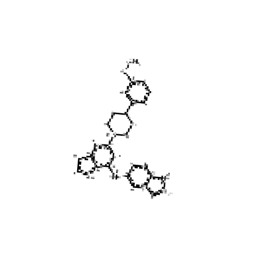 COc1cccc(C2CCN(c3nc(Nc4ccc5[nH]ncc5c4)c4sccc4n3)CC2)c1